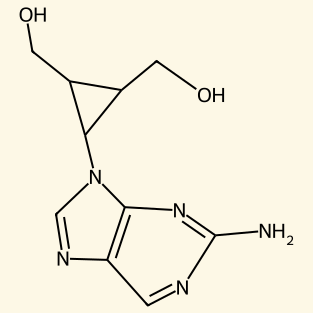 Nc1ncc2ncn(C3C(CO)C3CO)c2n1